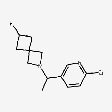 CC(c1ccc(Cl)nc1)N1CC2(CC(F)C2)C1